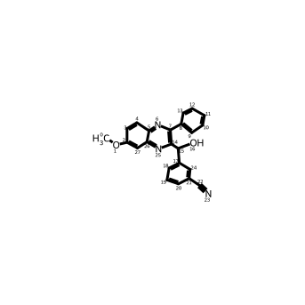 COc1ccc2nc(-c3ccccc3)c(C(O)c3cccc(C#N)c3)nc2c1